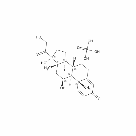 C[C@]12C=CC(=O)C=C1CC[C@@H]1[C@@H]2[C@@H](O)C[C@@]2(C)[C@H]1CC[C@]2(O)C(=O)CO.O=P(O)(O)O